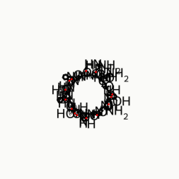 CCCC[C@H]1C(=O)N[C@@H](CCCNC(=N)N)C(=O)NC(C(=O)NCC(N)=O)CSCC(=O)N[C@@H](Cc2ccc(O)cc2)C(=O)N(C)[C@@H](C)C(=O)N[C@@H](CC(N)=O)C(=O)N2CCC[C@H]2C(=O)N[C@@H](Cc2cnc[nH]2)C(=O)N[C@@H](CC(C)C)C(=O)N2C[C@H](O)C[C@H]2C(=O)N[C@@H](Cc2c[nH]c3ccccc23)C(=O)N[C@@H](CO)C(=O)N[C@@H](Cc2c[nH]c3ccccc23)C(=O)N(C)[C@@H](C)C(=O)N1C